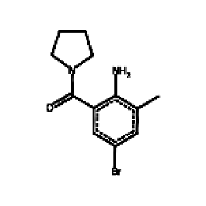 Cc1cc(Br)cc(C(=O)N2CCCC2)c1N